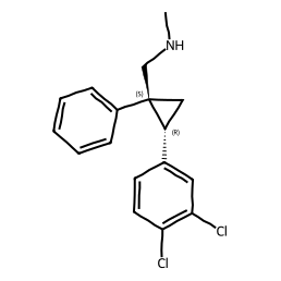 CNC[C@@]1(c2ccccc2)C[C@@H]1c1ccc(Cl)c(Cl)c1